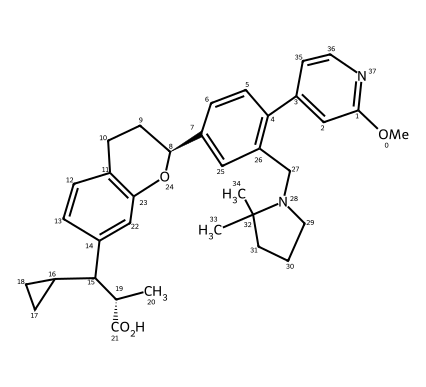 COc1cc(-c2ccc([C@@H]3CCc4ccc(C(C5CC5)[C@H](C)C(=O)O)cc4O3)cc2CN2CCCC2(C)C)ccn1